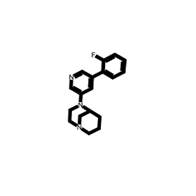 Fc1ccccc1-c1cncc(N2CCN3CCCC2C3)c1